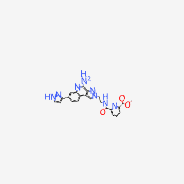 COC(=O)c1cccc(C(=O)NCCn2cc3c(n2)c(N)nc2cc(-c4cc[nH]n4)ccc23)n1